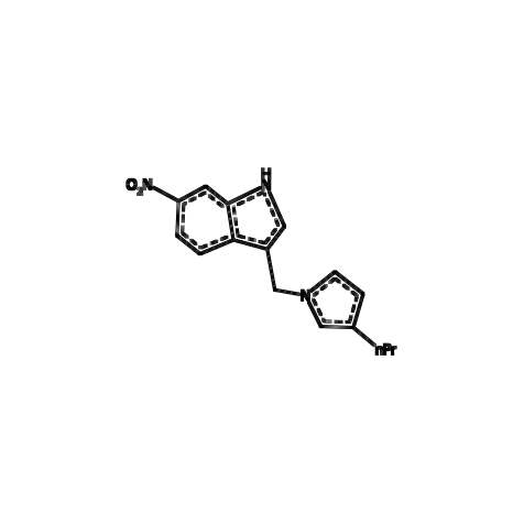 CCCc1ccn(Cc2c[nH]c3cc([N+](=O)[O-])ccc23)c1